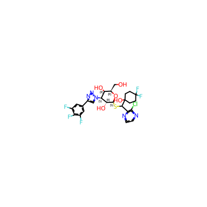 OC[C@H]1O[C@@H](SC(c2nccnc2Cl)C2(O)CCC(F)(F)CC2)[C@H](O)[C@@H](n2cc(-c3cc(F)c(F)c(F)c3)nn2)[C@H]1O